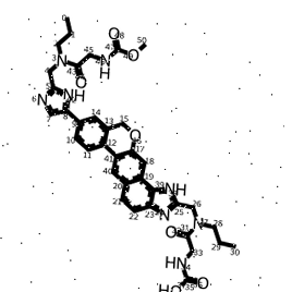 CCCN(Cc1ncc(-c2ccc3c(c2)COc2cc4c(ccc5nc(CN(CCC)C(=O)CNC(=O)O)[nH]c54)cc2-3)[nH]1)C(=O)CNC(=O)OC